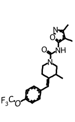 Cc1noc(NC(=O)N2CCC(=Cc3ccc(OC(F)(F)F)cc3)C(C)C2)c1C